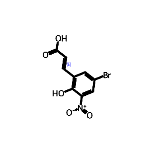 O=C(O)/C=C/c1cc(Br)cc([N+](=O)[O-])c1O